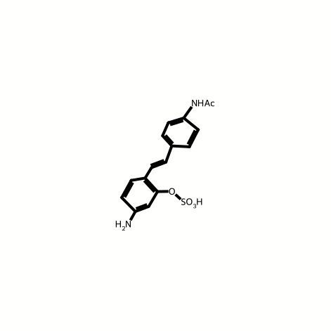 CC(=O)Nc1ccc(C=Cc2ccc(N)cc2OS(=O)(=O)O)cc1